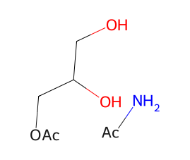 CC(=O)OCC(O)CO.CC(N)=O